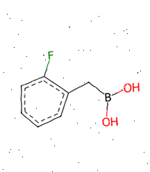 OB(O)Cc1ccccc1F